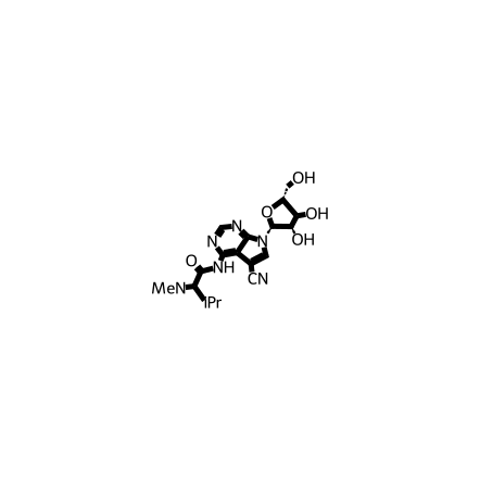 CNC(C(=O)Nc1ncnc2c1c(C#N)cn2[C@@H]1O[C@H](CO)C(O)[C@@H]1O)C(C)C